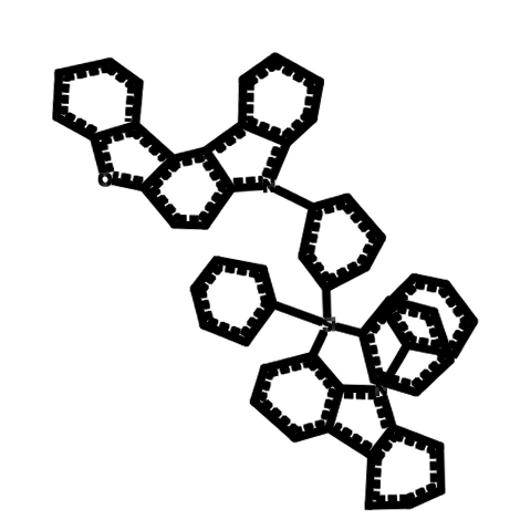 c1ccc(-n2c3ccccc3c3cccc([Si](c4ccccc4)(c4ccccc4)c4cccc(-n5c6ccccc6c6c7c(ccc65)oc5ccccc57)c4)c32)cc1